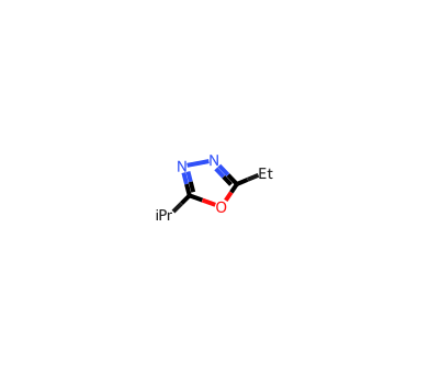 CCc1nnc(C(C)C)o1